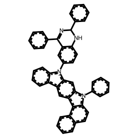 c1ccc(C2=NC(c3ccccc3)Nc3ccc(-n4c5ccccc5c5cc6c7c8ccccc8ccc7n(-c7ccccc7)c6cc54)cc32)cc1